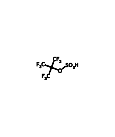 O=S(=O)(O)OC(C(F)(F)F)(C(F)(F)F)C(F)(F)F